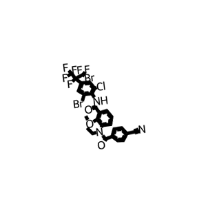 CCN(C(=O)c1ccc(C#N)cc1)c1cccc(C(=O)Nc2c(Cl)cc(C(F)(C(F)(F)F)C(F)(F)Br)cc2Br)c1OC